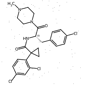 CN1CCN(C(=O)[C@H](Cc2ccc(Cl)cc2)NC(=O)C2(c3ccc(Cl)cc3Cl)CC2)CC1